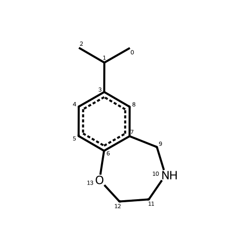 CC(C)c1ccc2c(c1)CNCCO2